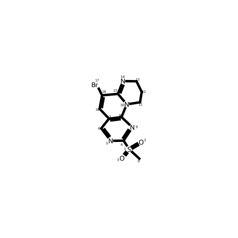 CS(=O)(=O)c1ncc2c(n1)N1CCCN=C1C(Br)=C2